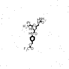 CC(C)[C@H](N)C(=O)N[C@@H](CCCNC(N)=O)C(=O)Nc1ccc(COC(=O)C(F)(F)F)cc1